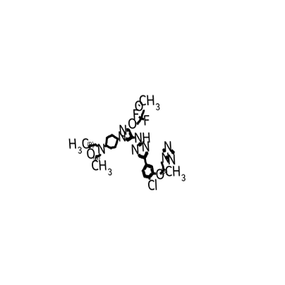 COCC(F)(F)COc1nn(C2CCC(N3C[C@@H](C)O[C@@H](C)C3)CC2)cc1Nc1ncc(-c2ccc(Cl)c(O[C@@H](C)Cn3cncn3)c2)cn1